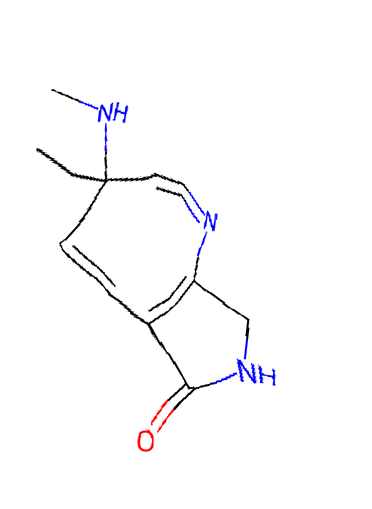 CNC1(C)C=CC2=C(CNC2=O)N=C1